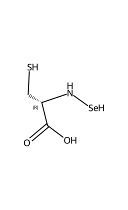 O=C(O)[C@H](CS)N[SeH]